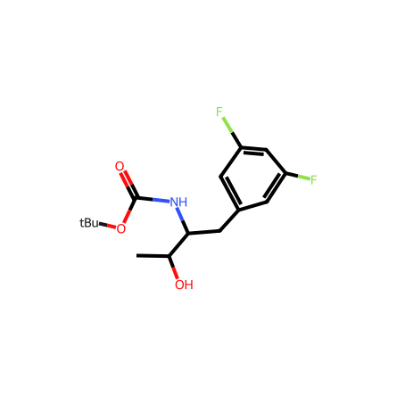 CC(O)C(Cc1cc(F)cc(F)c1)NC(=O)OC(C)(C)C